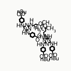 CCCCOC(=O)c1ccc(Nc2nc(NCCCOC(C)(C)OC(C)(C)CCCNc3nc(Nc4ccc(C(=O)OCCCC)cc4)nc(Nc4ccc(C(=O)OCCCC)cc4)n3)nc(Nc3ccc(C(=O)OCCCC)cc3)n2)cc1